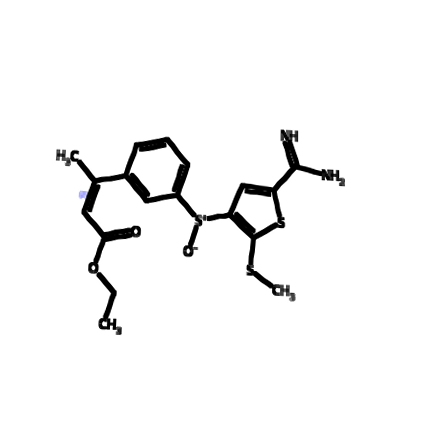 CCOC(=O)/C=C(/C)c1cccc([S+]([O-])c2cc(C(=N)N)sc2SC)c1